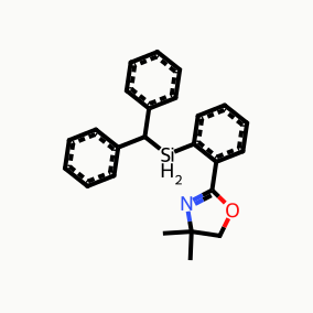 CC1(C)COC(c2ccccc2[SiH2]C(c2ccccc2)c2ccccc2)=N1